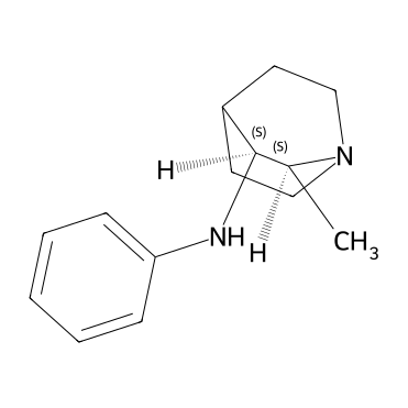 C[C@H]1[C@@H](Nc2ccccc2)C2CCN1CC2